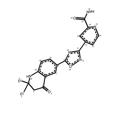 CCC1(CC)CC(=O)c2cc(-c3nc(-c4ccnc(C(=O)NC)c4)no3)ccc2N1